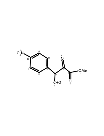 COC(=O)C(=O)C(C=O)c1ccc([N+](=O)[O-])cc1